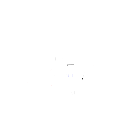 C=CC[C@@H]1O[C@@H](c2cccc3ccccc23)C[C@@H]1C(NC(=O)OC1CCOC1)C(=O)O